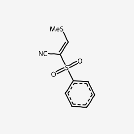 CSC=C(C#N)S(=O)(=O)c1ccccc1